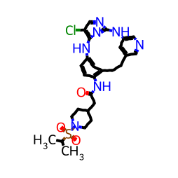 CC(C)S(=O)(=O)N1CCC(CC(=O)Nc2ccc3cc2CCc2cncc(c2)Nc2ncc(Cl)c(n2)N3)CC1